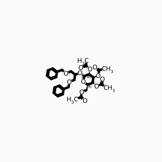 CC(=O)OC[C@H]1O[C@@H](OC(COCc2ccccc2)COCc2ccccc2)[C@H](OC(C)=O)[C@@H](OC(C)=O)[C@@H]1OC(C)=O